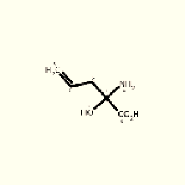 C=CCC(N)(O)C(=O)O